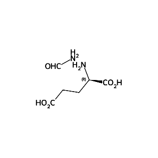 NC=O.N[C@H](CCC(=O)O)C(=O)O